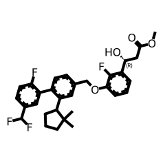 COC(=O)C[C@@H](O)c1cccc(OCc2ccc(-c3cc(C(F)F)ccc3F)c(C3CCCC3(C)C)c2)c1F